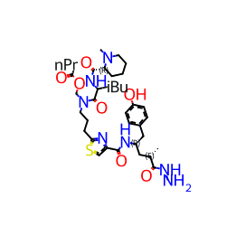 CCCC(=O)OCN(CCCc1nc(C(=O)N[C@@H](Cc2ccc(O)cc2)C[C@H](C)C(=O)NN)cs1)C(=O)C(NC(=O)[C@H]1CCCCN1C)C(C)CC